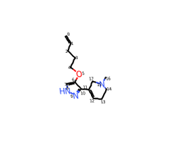 C=CCCCOc1c[nH]nc1C1=CCCN(C)C1